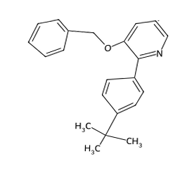 CC(C)(C)c1ccc(-c2nc[c]cc2OCc2ccccc2)cc1